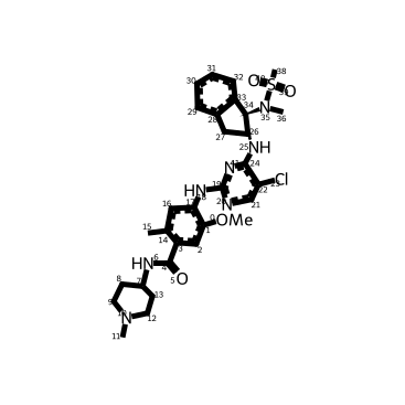 COc1cc(C(=O)NC2CCN(C)CC2)c(C)cc1Nc1ncc(Cl)c(N[C@@H]2Cc3ccccc3[C@H]2N(C)S(C)(=O)=O)n1